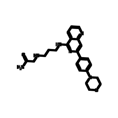 NC(=O)CNCCCNc1nc(-c2ccc(N3CCOCC3)cc2)cc2ncccc12